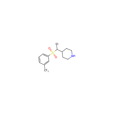 CCC(C1CCNCC1)S(=O)(=O)c1cccc(C(F)(F)F)c1